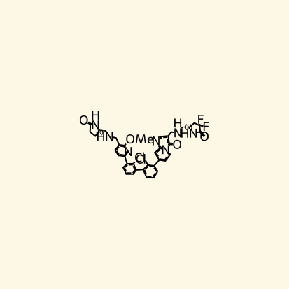 COc1nc(-c2cccc(-c3cccc(-c4ccn5c(=O)c(CNC[C@@H]6CC(F)(F)C(=O)N6)cnc5c4)c3Cl)c2Cl)ccc1CNC[C@H]1CCC(=O)N1